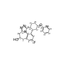 OC1Cc2cc(F)ccc2-n2c(nnc2C2CCC(Oc3ccccn3)CC2)C1